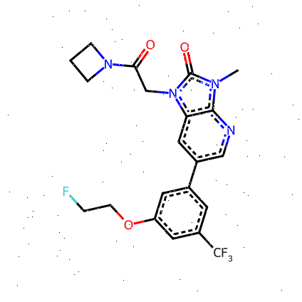 Cn1c(=O)n(CC(=O)N2CCC2)c2cc(-c3cc(OCCF)cc(C(F)(F)F)c3)cnc21